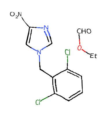 CCOC=O.O=[N+]([O-])c1cn(Cc2c(Cl)cccc2Cl)cn1